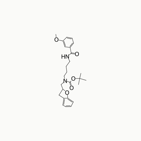 COc1cccc(C(=O)NCCCCN(CC2Cc3ccccc3O2)C(=O)OC(C)(C)C)c1